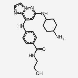 NC1CCC(Nc2cc(Nc3ccc(C(=O)NCCO)cc3)c3nccn3n2)CC1